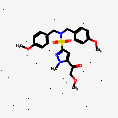 COCC(=O)c1cc(S(=O)(=O)N(Cc2ccc(OC)cc2)Cc2ccc(OC)cc2)nn1C